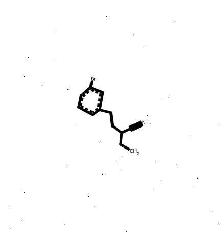 CCC(C#N)CCc1cccc(Br)c1